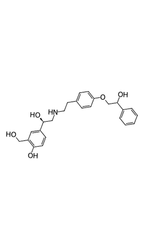 OCc1cc([C@@H](O)CNCCc2ccc(OCC(O)c3ccccc3)cc2)ccc1O